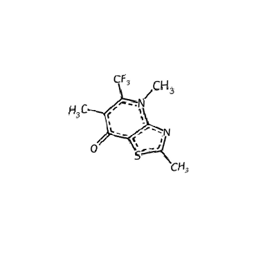 Cc1nc2c(s1)c(=O)c(C)c(C(F)(F)F)n2C